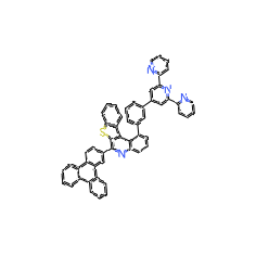 c1ccc(-c2cc(-c3cccc(-c4cccc5nc(-c6ccc7c8ccccc8c8ccccc8c7c6)c6sc7ccccc7c6c45)c3)cc(-c3ccccn3)n2)nc1